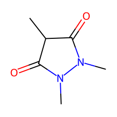 CC1C(=O)N(C)N(C)C1=O